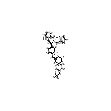 CC(C)(C)CN1CCC2(CCCN(Cc3ccc(C(=O)N(Cc4ncc[nH]4)Cc4ncc[nH]4)cc3)C2)CC1